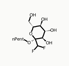 CCCCCO[C@]1(C(F)F)O[C@H](CO)[C@@H](O)[C@H](O)[C@H]1O